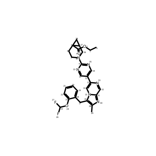 CCOC(=O)C12CCN(c3ncc(-c4cn5c(Cc6ccccc6OC(F)F)c(C)nc5cn4)cn3)CC1C2